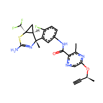 C#C[C@H](C)Oc1cnc(C(=O)Nc2ccc(F)c([C@]3(C)N=C(N)S[C@@]4(C(F)F)C[C@@H]34)c2)c(C)n1